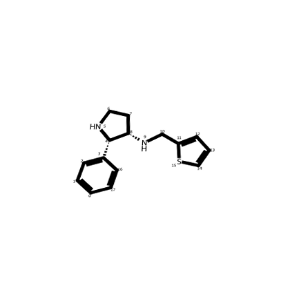 c1ccc([C@@H]2NCC[C@@H]2NCc2cccs2)cc1